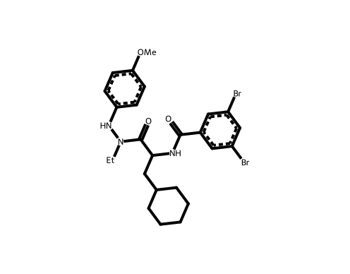 CCN(Nc1ccc(OC)cc1)C(=O)C(CC1CCCCC1)NC(=O)c1cc(Br)cc(Br)c1